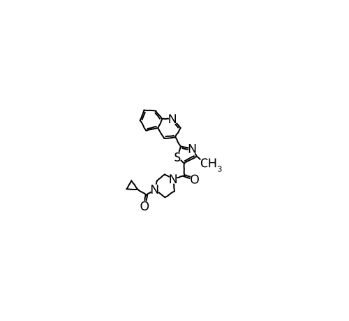 Cc1nc(-c2cnc3ccccc3c2)sc1C(=O)N1CCN(C(=O)C2CC2)CC1